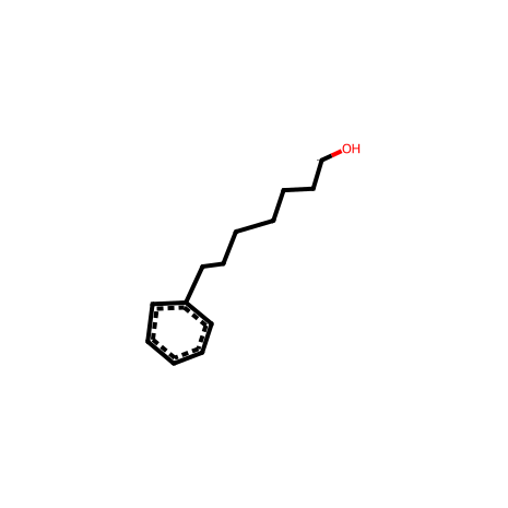 O[CH]CCCCCCc1ccccc1